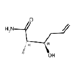 C=CC[C@@H](O)[C@H](C)C(N)=O